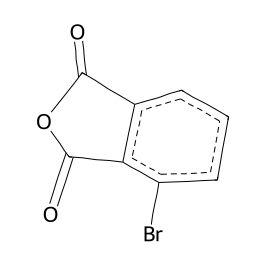 O=C1OC(=O)c2c(Br)cccc21